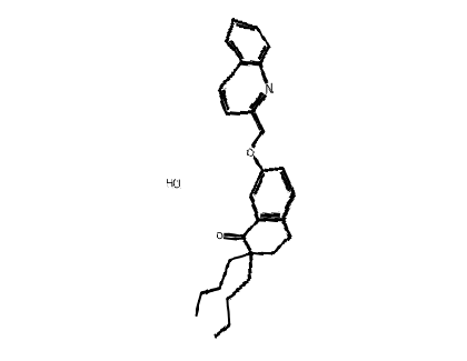 CCCCC1(CCCC)CCc2ccc(OCc3ccc4ccccc4n3)cc2C1=O.Cl